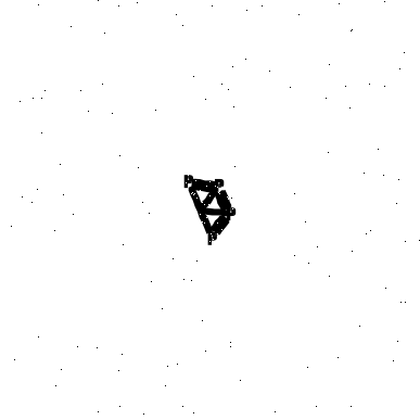 P1=P2=P3=PC123